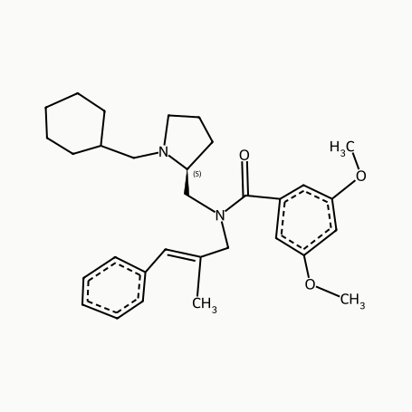 COc1cc(OC)cc(C(=O)N(CC(C)=Cc2ccccc2)C[C@@H]2CCCN2CC2CCCCC2)c1